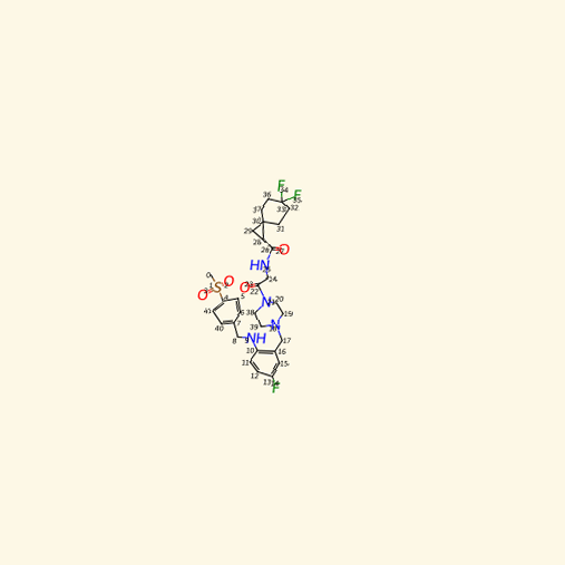 CS(=O)(=O)c1ccc(CNc2ccc(F)cc2CN2CCN(C(=O)CNC(=O)C3CC34CCC(F)(F)CC4)CC2)cc1